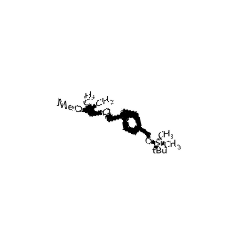 [CH2]C(C)(COCc1ccc(CO[Si](C)(C)C(C)(C)C)cc1)OC